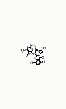 N#Cc1c(N)nc(N)nc1N[C@H](c1nc2c(Cl)ccc(Cl)c2c(=O)n1[C@H]1C[C@H](O)C1)C1CC1